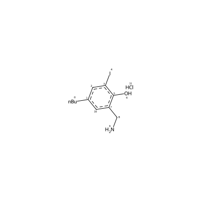 CCCCc1cc(I)c(O)c(CN)c1.Cl